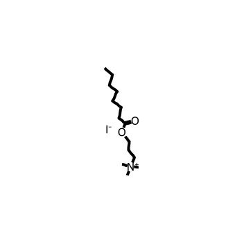 CCCCCCCC(=O)OCCC[N+](C)(C)C.[I-]